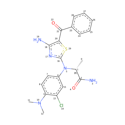 C[C@H](C(N)=O)N(c1ccc(N(C)C)c(Cl)c1)c1nc(N)c(C(=O)c2ccccc2)s1